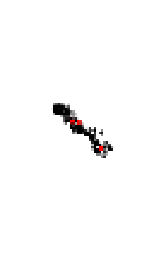 CCS(=O)(=O)c1cccc(OC[C@@H](O)CN[C@H]2COC3(CCN(S(=O)(=O)c4cnc5ccccc5c4)CC3)C2)c1